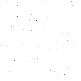 CC1(C)CC(=O)c2sc(N3CCOCC3)c(-c3ccnc(-c4cccc(CN5CCC(N)CC5)c4)c3)c2C1